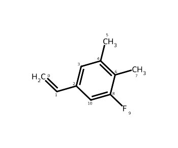 C=Cc1cc(C)c(C)c(F)c1